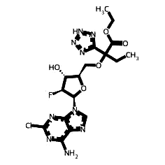 CCOC(=O)C(CC)(OC[C@H]1O[C@@H](n2cnc3c(N)nc(Cl)nc32)[C@@H](F)[C@@H]1O)c1nn[nH]n1